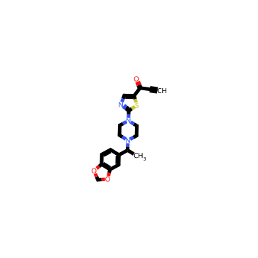 C#CC(=O)c1cnc(N2CCN(C(C)c3ccc4c(c3)OCO4)CC2)s1